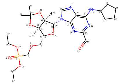 CCOP(=O)(COC[C@H]1O[C@@H](n2cnc3c(NC4CCCC4)nc(C=O)nc32)[C@@H]2OC(C)(C)O[C@@H]21)OCC